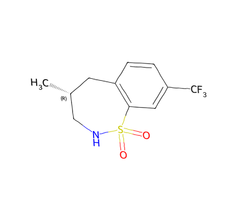 C[C@H]1CNS(=O)(=O)c2cc(C(F)(F)F)ccc2C1